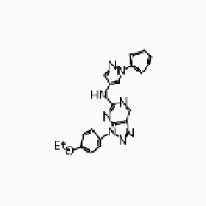 CCOc1ccc(-n2nnc3cnc(Nc4cnn(-c5ccccc5)c4)nc32)cc1